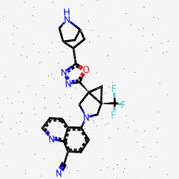 N#Cc1ccc(N2C[C@]3(c4nnc(C5CC6CC5CN6)o4)C[C@]3(C(F)(F)F)C2)c2cccnc12